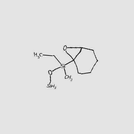 CC[Si](C)(O[SiH3])C12CCCCC1O2